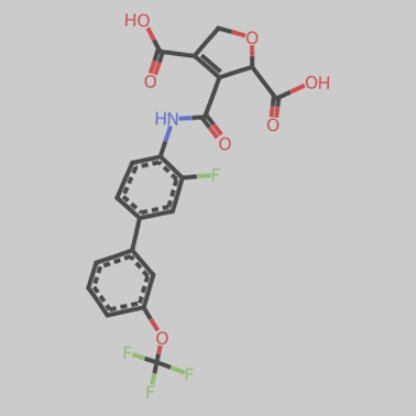 O=C(O)C1=C(C(=O)Nc2ccc(-c3cccc(OC(F)(F)F)c3)cc2F)C(C(=O)O)OC1